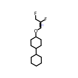 FC/C(F)=C\OC1CCC(C2CCCCC2)CC1